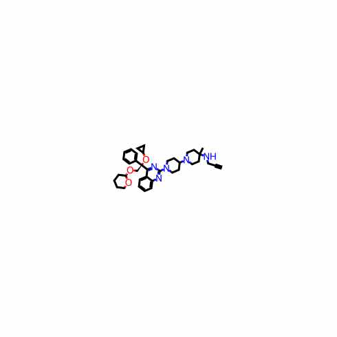 C#CCNC1(C)CCN(C2CCN(c3nc([C@@](COC4CCCCO4)(OC4CC4)c4ccccc4)c4ccccc4n3)CC2)CC1